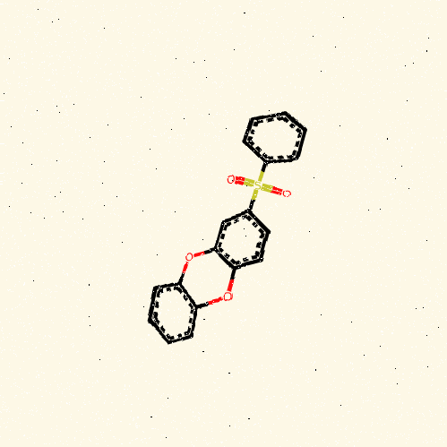 O=S(=O)(c1ccccc1)c1ccc2c(c1)Oc1ccccc1O2